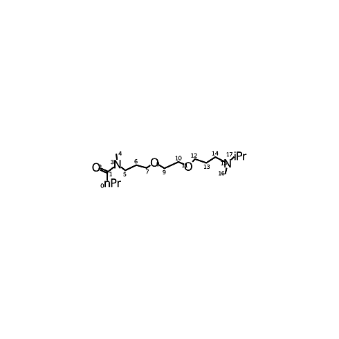 CCCC(=O)N(C)CCCOCCOCCCN(C)C(C)C